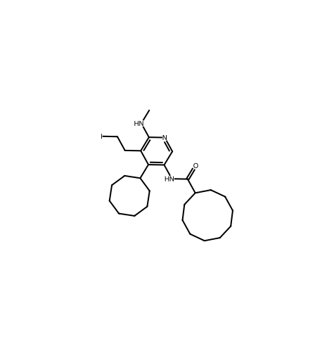 CNc1ncc(NC(=O)C2CCCCCCCCC2)c(C2CCCCCCC2)c1CCI